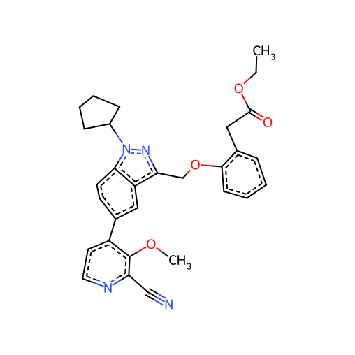 CCOC(=O)Cc1ccccc1OCc1nn(C2CCCC2)c2ccc(-c3ccnc(C#N)c3OC)cc12